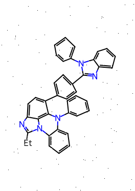 CCc1nc2ccc(-c3ccc(-c4nc5ccccc5n4-c4ccccc4)cc3)c3c2n1-c1ccccc1N3c1ccccc1